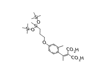 CC(=C(C(=O)O)C(=O)O)c1ccc(OCCC[Si](C)(O[Si](C)(C)C)O[Si](C)(C)C)cc1C